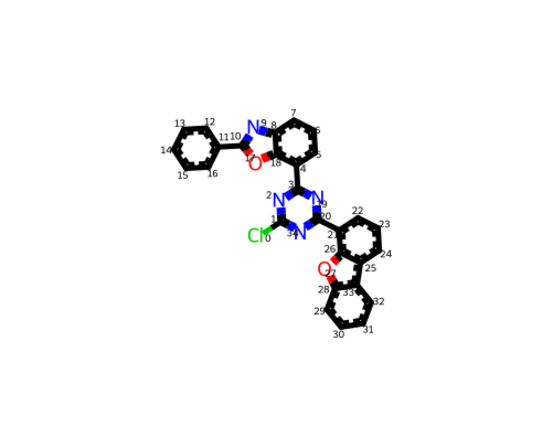 Clc1nc(-c2cccc3nc(-c4ccccc4)oc23)nc(-c2cccc3c2oc2ccccc23)n1